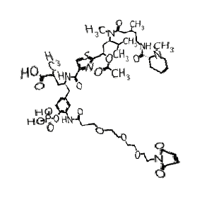 CC(=O)O[C@H](C[C@H](C(C)C)N(C)C(=O)C[C@@H](C)CCNC(=O)[C@H]1CCCCN1C)c1nc(C(=O)N[C@@H](Cc2ccc(OP(=O)(O)O)c(NC(=O)CCOCCOCCOCCN3C(=O)C=CC3=O)c2)CC(C)C(=O)O)cs1